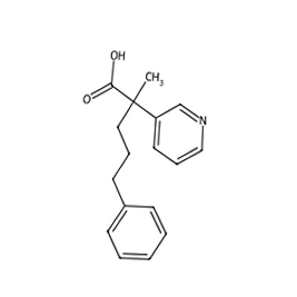 CC(CCCc1ccccc1)(C(=O)O)c1cccnc1